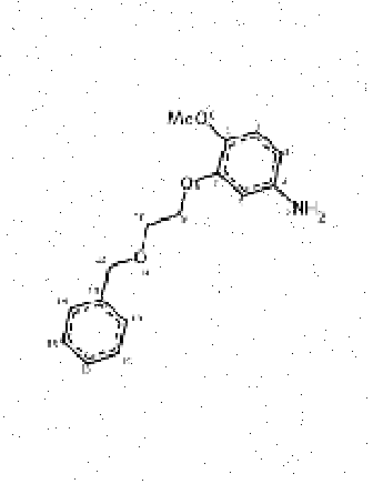 COc1ccc(N)cc1OCCOCc1ccccc1